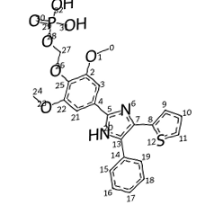 COc1cc(-c2nc(-c3cccs3)c(-c3ccccc3)[nH]2)cc(OC)c1OCOP(=O)(O)O